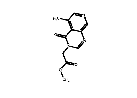 COC(=O)Cn1cnc2cncc(C)c2c1=O